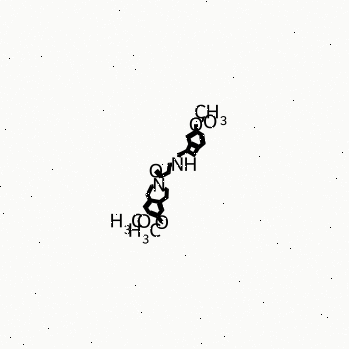 COc1cc2c(cc1OC)CCN(C(=O)CCNCC1Cc3ccc(OC(C)=O)cc31)CC2